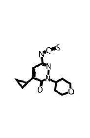 O=c1c(C2CC2)cc(N=C=S)nn1C1CCOCC1